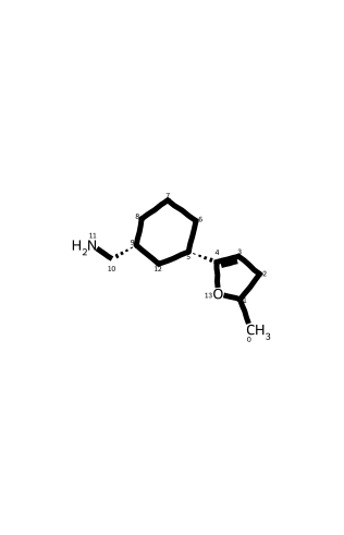 CC1CC=C([C@H]2CCC[C@@H](CN)C2)O1